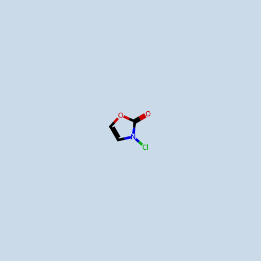 O=c1occn1Cl